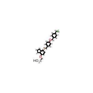 O=C(O)COc1ccc(SCc2ccc(OCc3ccc(CF)cc3)cc2)c2c1CCC2